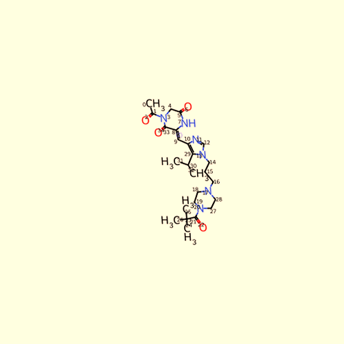 CC(=O)N1CC(=O)N/C(=C\c2ncn(CCCN3CCN(C(=O)C(C)(C)C)CC3)c2C(C)C)C1=O